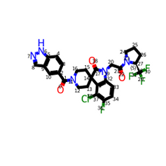 O=C(c1ccc2[nH]ncc2c1)N1CCC2(CC1)C(=O)N(CC(=O)N1CCC[C@H]1C(F)(F)F)c1ccc(F)c(Cl)c12